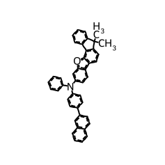 CC1(C)c2ccccc2-c2c1ccc1c2oc2cc(N(c3ccccc3)c3ccc(-c4ccc5ccccc5c4)cc3)ccc21